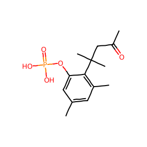 CC(=O)CC(C)(C)c1c(C)cc(C)cc1OP(=O)(O)O